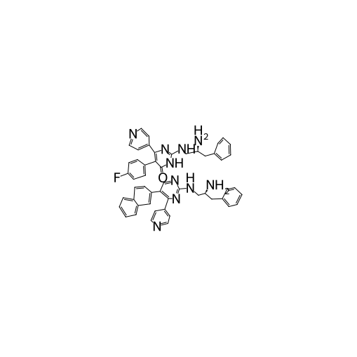 N[C@H](CNc1nc(-c2ccncc2)c(-c2ccc(F)cc2)c(=O)[nH]1)Cc1ccccc1.N[C@H](CNc1ncc(-c2ccc3ccccc3c2)c(-c2ccncc2)n1)Cc1ccccc1